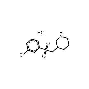 Cl.O=S(=O)(CC1CCCNC1)c1cccc(Cl)c1